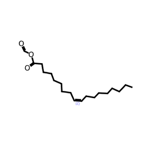 CCCCCCCC/C=C\CCCCCCCC(=O)OC=O